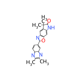 Cc1nc2ccc(-c3nc4cc5c(cc4o3)NC(=O)C5(C)C)cc2nc1C